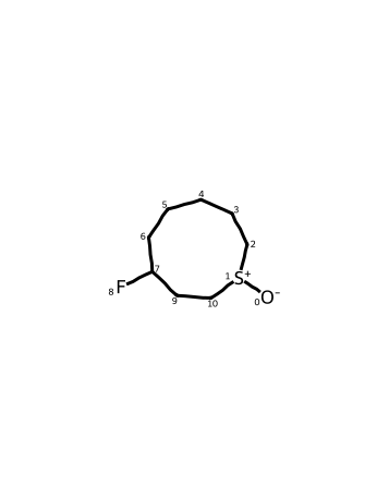 [O-][S+]1CCCCCC(F)CC1